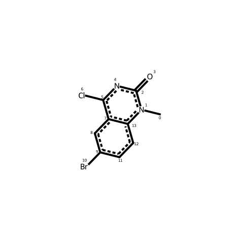 Cn1c(=O)nc(Cl)c2cc(Br)ccc21